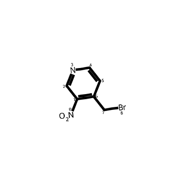 O=[N+]([O-])c1cnccc1CBr